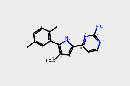 Cc1ccc(C)c(-c2[nH]c(-c3ccnc(N)n3)cc2C(=O)O)c1